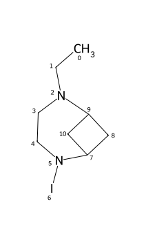 CCN1CCN(I)C2CC1C2